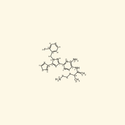 C=C(Nc1cnc(-c2cc(C3=NCC=C3)n(Cc3ccccc3F)n2)nc1N)C(C)CCCN